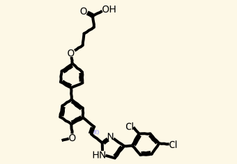 COc1ccc(-c2ccc(OCCCC(=O)O)cc2)cc1/C=C/c1nc(-c2ccc(Cl)cc2Cl)c[nH]1